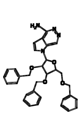 Nc1nncc2c1ccn2C1OC(COCc2ccccc2)C(OCc2ccccc2)C1OCc1ccccc1